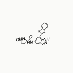 O=C1CC[C@@H](C(=O)Nc2cc(-c3cc4ccccc4s3)c3[nH]ncc3c2)N1